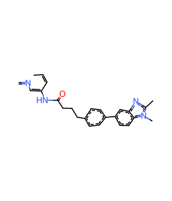 C=N/C=C(\C=C/C)NC(=O)CCCc1ccc(-c2ccc3c(c2)nc(C)n3C)cc1